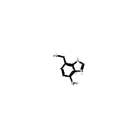 COc1ccc(CO)c2ocnc12